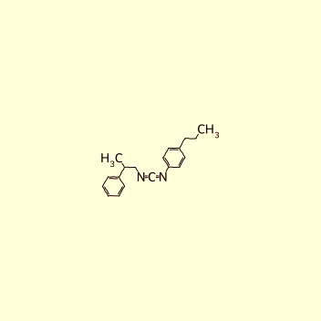 CCCc1ccc(N=C=NCC(C)c2ccccc2)cc1